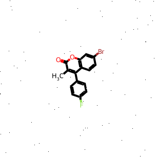 Cc1c(-c2ccc(F)cc2)c2ccc(Br)cc2oc1=O